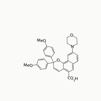 COc1ccc(C2(c3ccc(OC)cc3)C=Cc3c(C(=O)O)cc4ccc(N5CCOCC5)cc4c3O2)cc1